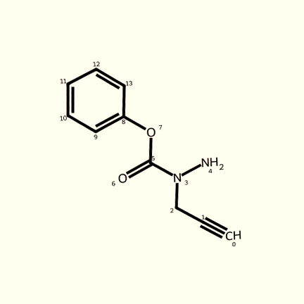 C#CCN(N)C(=O)Oc1ccccc1